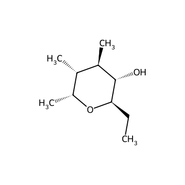 CC[C@H]1O[C@H](C)[C@H](C)[C@@H](C)[C@@H]1O